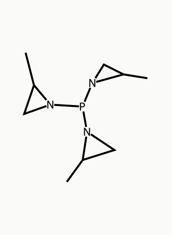 CC1CN1P(N1CC1C)N1CC1C